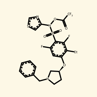 CCc1c(O[C@H]2CCN(Cc3ccccc3)C2)cc(F)c(S(=O)(=O)N(OC(=O)C(F)(F)F)c2cscn2)c1F